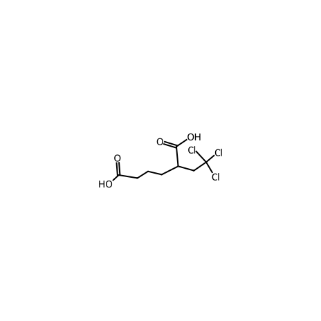 O=C(O)CCCC(CC(Cl)(Cl)Cl)C(=O)O